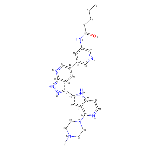 CCCCC(=O)Nc1cncc(-c2cnc3[nH]nc(-c4cc5c(N6CCN(C)CC6)nccc5[nH]4)c3c2)c1